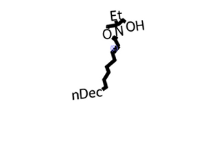 CCCCCCCCCCCCCCC/C=C/C1=NC(CC)(CO)CO1